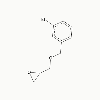 CCc1cccc(COCC2CO2)c1